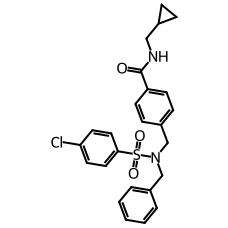 O=C(NCC1CC1)c1ccc(CN(Cc2ccccc2)S(=O)(=O)c2ccc(Cl)cc2)cc1